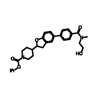 CC(C)OC(=O)N1CCC(C2Cc3cc(-c4ccc(C(=O)N(C)CCO)cc4)ccc3O2)CC1